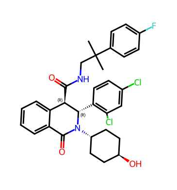 CC(C)(CNC(=O)[C@@H]1c2ccccc2C(=O)N([C@H]2CC[C@H](O)CC2)[C@H]1c1ccc(Cl)cc1Cl)c1ccc(F)cc1